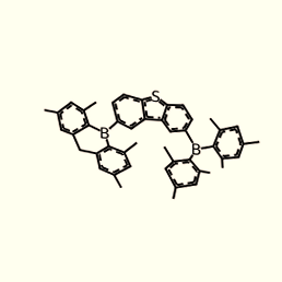 Cc1cc(C)c(B(c2ccc3sc4ccc(B5c6c(C)cc(C)cc6Cc6cc(C)cc(C)c65)cc4c3c2)c2c(C)cc(C)cc2C)c(C)c1